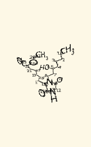 CCCCCC(O)CCN1C(=O)CNC(=O)C1CCCCCC(=C=O)OCC